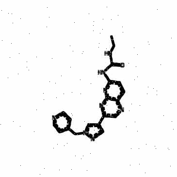 CCNC(=O)Nc1ccc2ncc(-c3cnn(Cc4ccncc4)c3)nc2n1